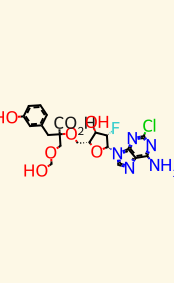 Nc1nc(Cl)nc2c1ncn2[C@@H]1O[C@H](COC(COCO)(Cc2cccc(O)c2)C(=O)O)[C@@H](O)[C@@H]1F